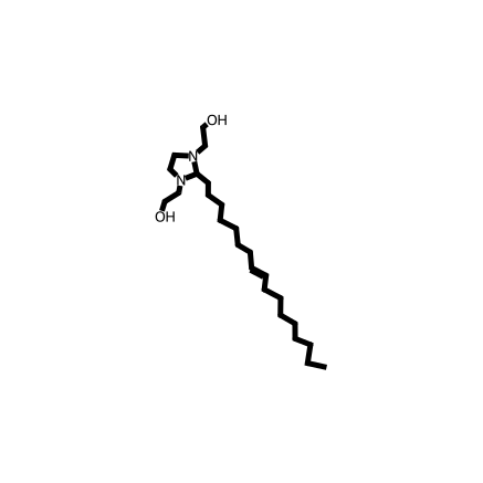 CCCCCCCC/C=C/CCCCCCCC1N(CCO)CCN1CCO